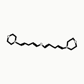 C(=COC=CCC=CN1CCOCC1)CC=CN1CCOCC1